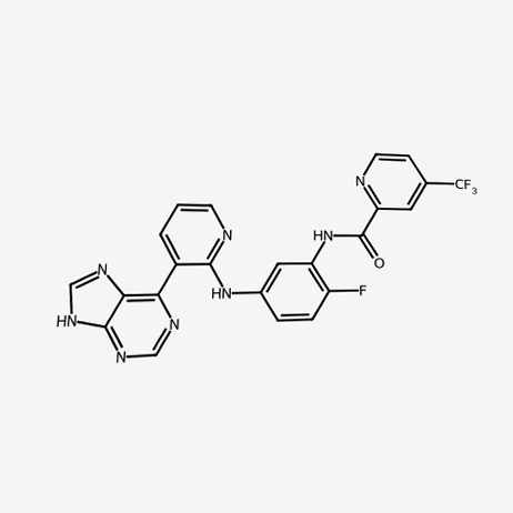 O=C(Nc1cc(Nc2ncccc2-c2ncnc3[nH]cnc23)ccc1F)c1cc(C(F)(F)F)ccn1